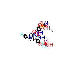 Cc1oncc1S(=O)(=O)Oc1ccc(NC(=O)/[N+](=C2\CCC[N+](C)(Cc3ccc(F)cc3)C2)[C@@H](Cc2ccc(O)cc2)C(N)=O)cc1.O=C(O)C(F)(F)F